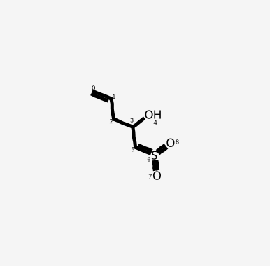 C=CCC(O)C=S(=O)=O